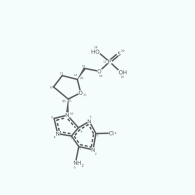 Nc1nc(Cl)nc2c1ncn2[C@H]1CC[C@@H](COP(O)(O)=S)O1